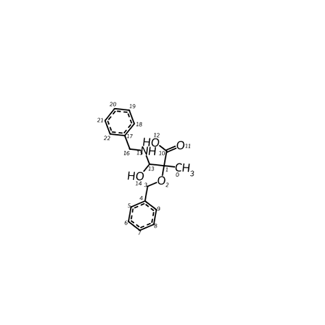 CC(OCc1ccccc1)(C(=O)O)C(O)NCc1ccccc1